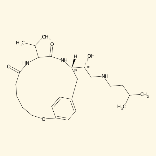 CC(C)CCNC[C@@H](O)[C@@H]1Cc2ccc(cc2)OCCCCC(=O)NC(C(C)C)C(=O)N1